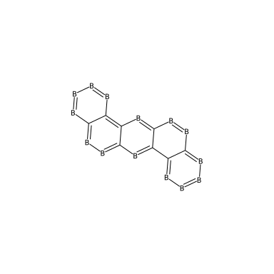 b1bbc2c(b1)bbc1bc3c(bbc4bbbbc43)bc12